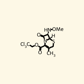 CON[C@@H]1C(=O)N2C(C(=O)OCC(Cl)(Cl)Cl)=C(C)CS[C@@H]12